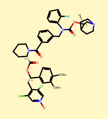 COc1ccc([C@H](Cc2c(Cl)c[n+]([O-])cc2Cl)OC(=O)[C@@H]2CCCCN2C(=O)c2cccc(CN(C(=O)O[C@H]3CN4CCC3CC4)c3ccccc3F)c2)cc1OC